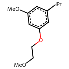 COCCOc1cc(OC)cc(C(C)C)c1